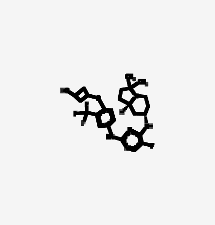 CC1(C)CC[C@@H]2C[C@@H](Nc3nc(Nc4ccc(OC5CC(O)C5)c(C(F)(F)F)c4)ncc3F)CCN21